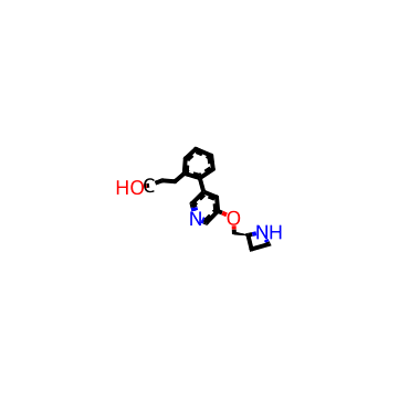 OCCCc1ccccc1-c1cncc(OC[C@@H]2CCN2)c1